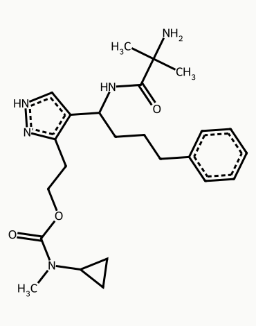 CN(C(=O)OCCc1n[nH]cc1C(CCCc1ccccc1)NC(=O)C(C)(C)N)C1CC1